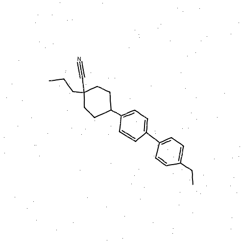 CCCC1(C#N)CCC(c2ccc(-c3ccc(CC)cc3)cc2)CC1